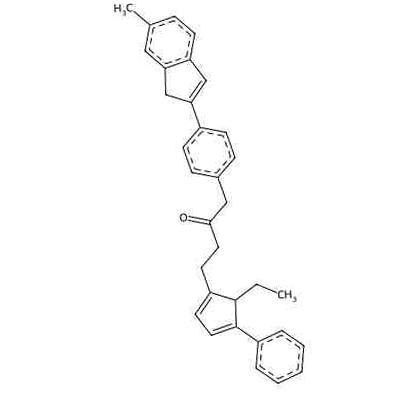 CCC1C(CCC(=O)Cc2ccc(C3=Cc4ccc(C)cc4C3)cc2)=CC=C1c1ccccc1